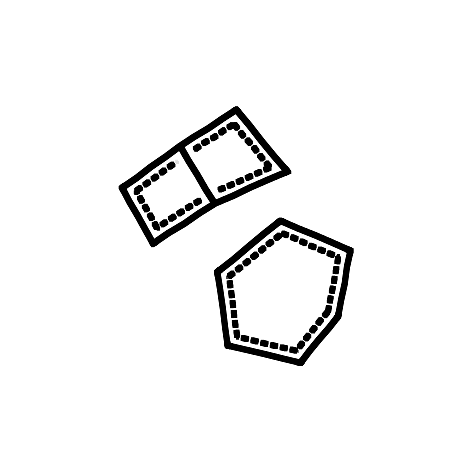 c1cc2ccc1-2.c1ccccc1